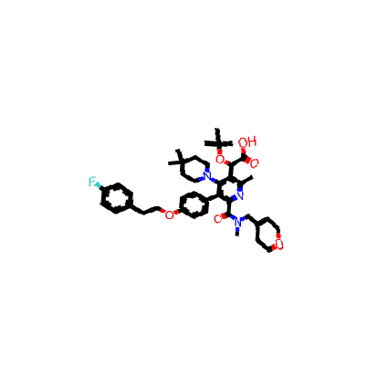 Cc1nc(C(=O)N(C)CC2CCOCC2)c(-c2ccc(OCCc3ccc(F)cc3)cc2)c(N2CCC(C)(C)CC2)c1C(OC(C)(C)C)C(=O)O